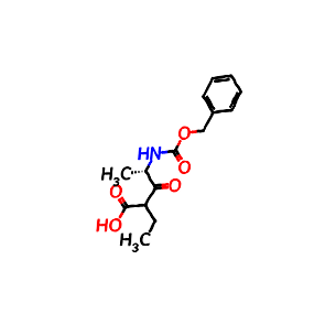 CCC(C(=O)O)C(=O)[C@H](C)NC(=O)OCc1ccccc1